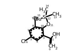 C=C(O)c1cc(Cl)cc(Br)c1O[Si](C)(C)C(C)(C)C